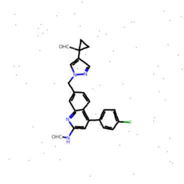 O=CNc1cc(-c2ccc(F)cc2)c2ccc(Cn3cc(C4(C=O)CC4)cn3)cc2n1